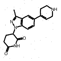 Cc1nn(C2CCC(=O)NC2=O)c2ccc(C3=CCNCC3)cc12